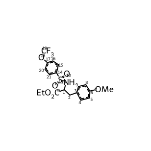 CCOC(=O)C(Cc1ccc(OC)cc1)NS(=O)(=O)c1ccc(OC(F)(F)F)cc1